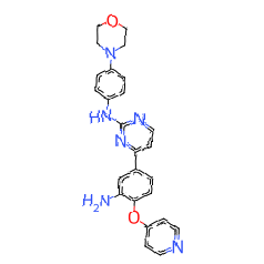 Nc1cc(-c2ccnc(Nc3ccc(N4CCOCC4)cc3)n2)ccc1Oc1ccncc1